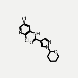 O=C(Nc1cc(Cl)cnc1Cl)c1cnn(C2CCCCO2)c1